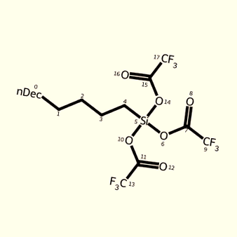 CCCCCCCCCCCCCC[Si](OC(=O)C(F)(F)F)(OC(=O)C(F)(F)F)OC(=O)C(F)(F)F